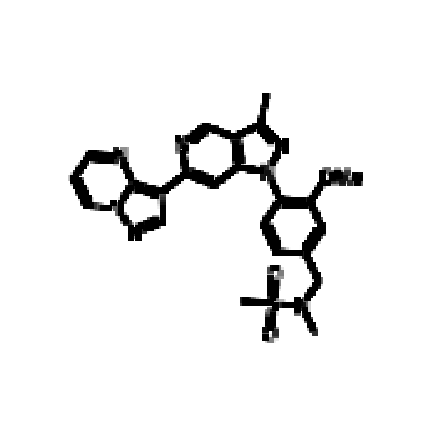 COc1cc(CN(C)S(C)(=O)=O)ccc1-n1nc(C)c2cnc(-c3cnn4cccnc34)cc21